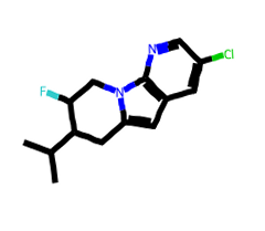 CC(C)C1Cc2cc3cc(Cl)cnc3n2CC1F